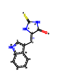 O=C1NC(=S)N/C1=C\c1c[nH]c2ccccc12